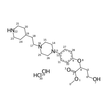 COC(=O)C(CCO)Oc1ccc(N2CCN(CCC3CCNCC3)CC2)cc1.Cl.Cl